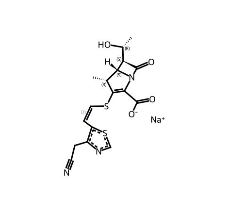 C[C@@H](O)[C@H]1C(=O)N2C(C(=O)[O-])=C(S/C=C\c3scnc3CC#N)[C@H](C)[C@H]12.[Na+]